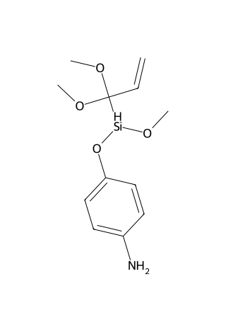 C=CC(OC)(OC)[SiH](OC)Oc1ccc(N)cc1